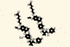 CCOc1cc2c(Oc3ccc(NC(=O)C4(C(=O)Nc5ccc(F)cc5)CC4)cc3F)ccnc2cc1OCCCCCC(=O)[O-].CCOc1cc2c(Oc3ccc(NC(=O)C4(C(=O)Nc5ccc(F)cc5)CC4)cc3F)ccnc2cc1OCCCCCC(=O)[O-].[Ca+2]